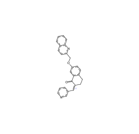 O=C1/C(=C\c2cccnc2)CCc2ccc(OCc3ccc4ccccc4n3)cc21